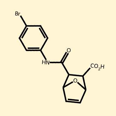 O=C(O)C1C2C=CC(O2)C1C(=O)Nc1ccc(Br)cc1